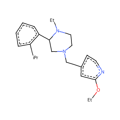 CCOc1cc(CN2CCN(CC)C(c3ccccc3C(C)C)C2)ccn1